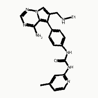 CCNCc1cn2ncnc(N)c2c1-c1ccc(NC(=O)Nc2cc(C)ccn2)cc1